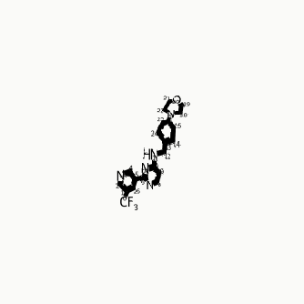 FC(F)(F)c1cncc(-c2nccc(NCc3ccc(N4CCOCC4)cc3)n2)c1